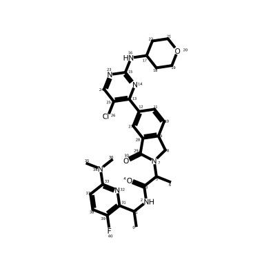 CC(NC(=O)C(C)N1Cc2ccc(-c3nc(NC4CCOCC4)ncc3Cl)cc2C1=O)c1nc(N(C)C)ccc1F